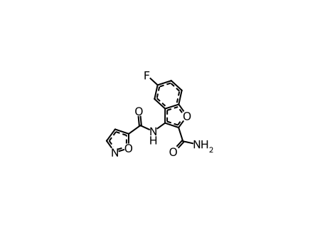 NC(=O)c1oc2ccc(F)cc2c1NC(=O)c1ccno1